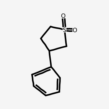 O=S1(=O)CCC(c2ccccc2)C1